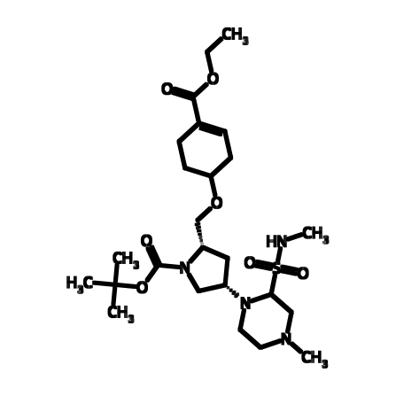 CCOC(=O)C1=CCC(OC[C@@H]2C[C@H](N3CCN(C)CC3S(=O)(=O)NC)CN2C(=O)OC(C)(C)C)CC1